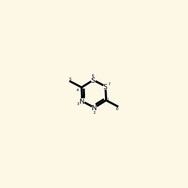 CC1=NN=C(C)SS1